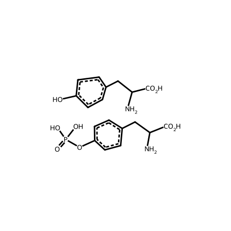 NC(Cc1ccc(O)cc1)C(=O)O.NC(Cc1ccc(OP(=O)(O)O)cc1)C(=O)O